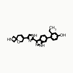 CCc1cc(O)ccc1-c1ccc2c(-c3nc(C4=CCC5(CNC5)OC4)c[nH]3)n[nH]c2c1